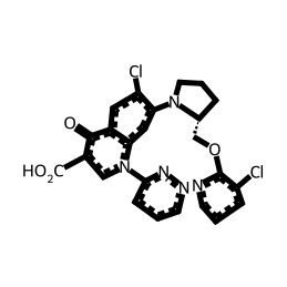 O=C(O)c1cn(-c2cccnn2)c2cc(N3CCC[C@@H]3COc3ncccc3Cl)c(Cl)cc2c1=O